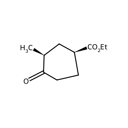 CCOC(=O)[C@H]1CCC(=O)[C@@H](C)C1